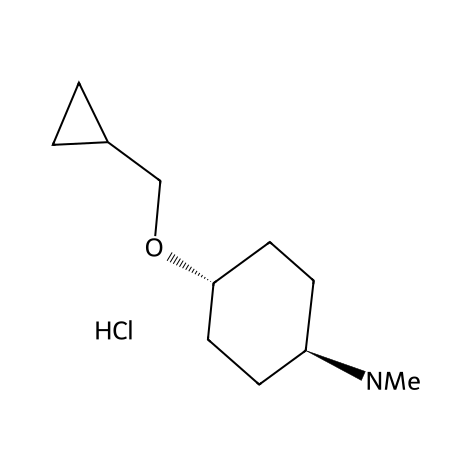 CN[C@H]1CC[C@H](OCC2CC2)CC1.Cl